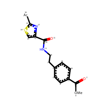 COC(=O)c1ccc(CCNC(=O)c2csc(C(C)=O)n2)cc1